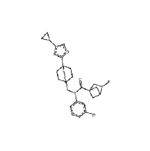 O=C(N(CC12CCC(c3nc(C4CC4)no3)(CC1)CC2)c1cccc(Br)c1)C12CC(F)C(C1)C2